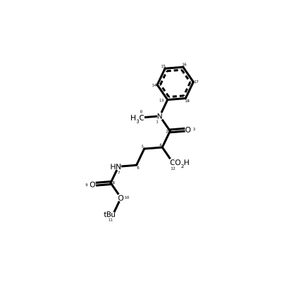 CN(C(=O)C(CCNC(=O)OC(C)(C)C)C(=O)O)c1ccccc1